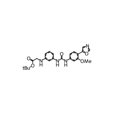 COc1cc(NC(=O)Nc2cccc(NCC(=O)OC(C)(C)C)c2)ccc1-c1cnco1